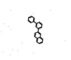 [c]1ccc(-c2ccc3ccccc3c2)cc1-c1ccccc1